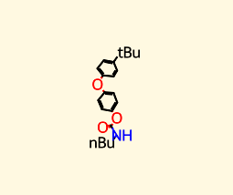 CCCCNC(=O)Oc1ccc(Oc2ccc(C(C)(C)C)cc2)cc1